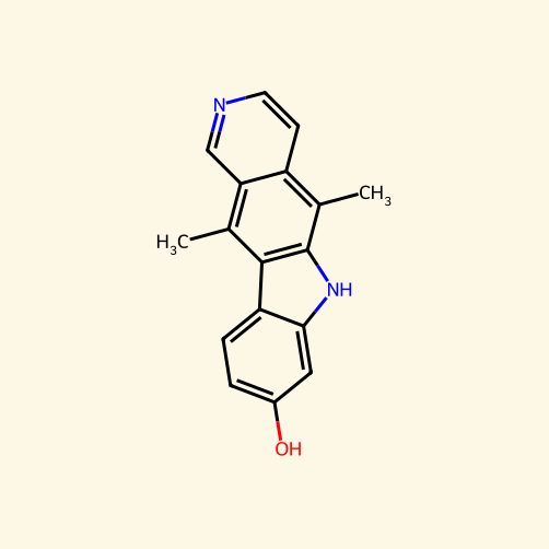 Cc1c2ccncc2c(C)c2c1[nH]c1cc(O)ccc12